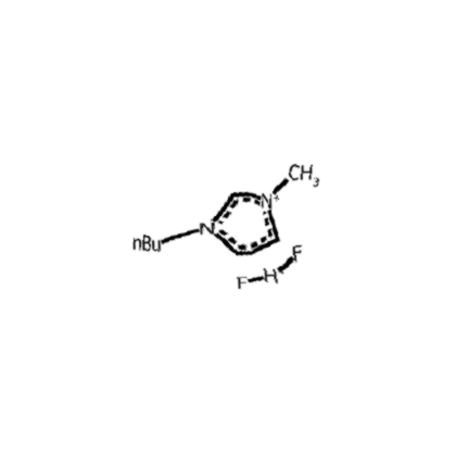 CCCCn1cc[n+](C)c1.F[H-]F